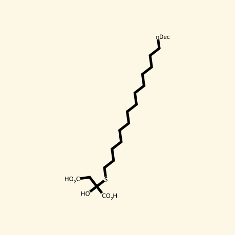 CCCCCCCCCCCCCCCCCCCCCCCCSC(O)(CC(=O)O)C(=O)O